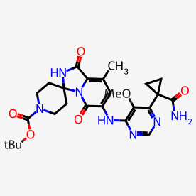 COc1c(Nc2cc(C)c3n(c2=O)C2(CCN(C(=O)OC(C)(C)C)CC2)NC3=O)ncnc1C1(C(N)=O)CC1